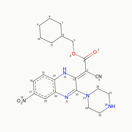 N#CC(C(=O)OCC1CCCCC1)=C1Nc2ccc([N+](=O)[O-])cc2N=C1N1CCNCC1